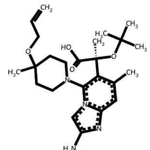 C=CCOC1(C)CCN(c2c([C@](C)(OC(C)(C)C)C(=O)O)c(C)cc3nc(N)cn23)CC1